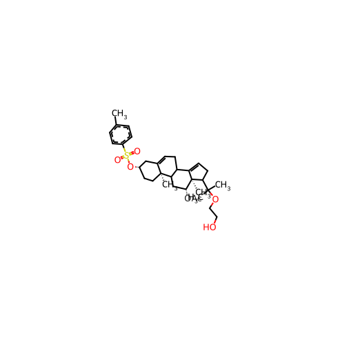 CC(=O)O[C@@H]1CC2C(CC=C3C[C@@H](OS(=O)(=O)c4ccc(C)cc4)CC[C@@]32C)C2=CCC(C(C)(C)OCCO)[C@]21C